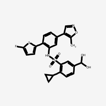 Cc1oncc1-c1ccc(-c2ccc(F)s2)c(NS(=O)(=O)c2cc(C(O)O)ccc2C2CC2)c1